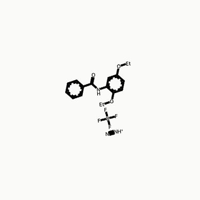 CCOc1ccc(OCC)c(NC(=O)c2ccccc2)c1.F[B-](F)(F)F.N#[NH+]